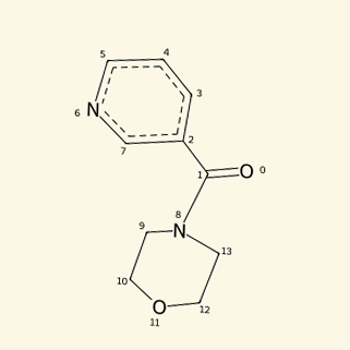 O=C(c1cccnc1)N1CCOCC1